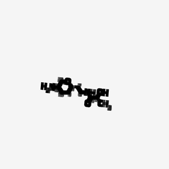 C[C@@H](O)C(=O)NCC[C@@H]1CC[C@@H](N)CO1